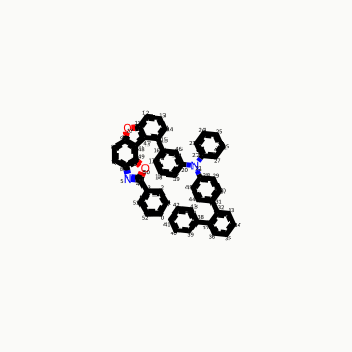 c1ccc(-c2nc3ccc4oc5cccc(-c6cccc(N(c7ccccc7)c7ccc(-c8ccccc8-c8ccccc8)cc7)c6)c5c4c3o2)cc1